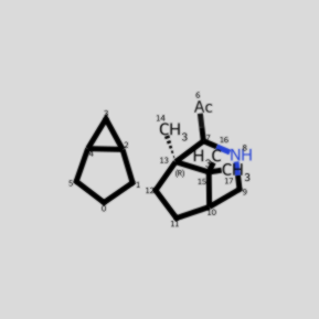 C1CC2CC2C1.CC(=O)C1NCC2CC[C@]1(C)C2(C)C